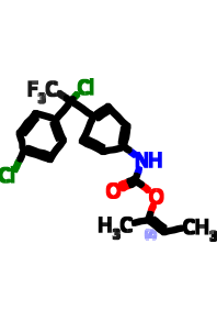 C/C=C(/C)OC(=O)Nc1ccc(C(Cl)(c2ccc(Cl)cc2)C(F)(F)F)cc1